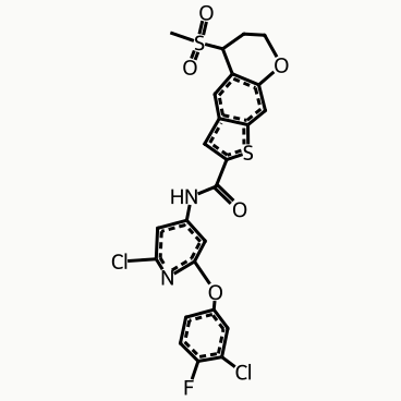 CS(=O)(=O)C1CCOc2cc3sc(C(=O)Nc4cc(Cl)nc(Oc5ccc(F)c(Cl)c5)c4)cc3cc21